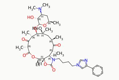 CC[C@H]1OC(=O)[C@H](C)C(=O)[C@H](C)[C@@H](OC2O[C@H](C)C[C@H](N(C)C)[C@H]2O)[C@@](C)(OC)C[C@@H](C)C(=O)[C@H](C)[C@H]2N(CCCCn3cnc(-c4ccccc4)c3)C(=O)O[C@]12CC